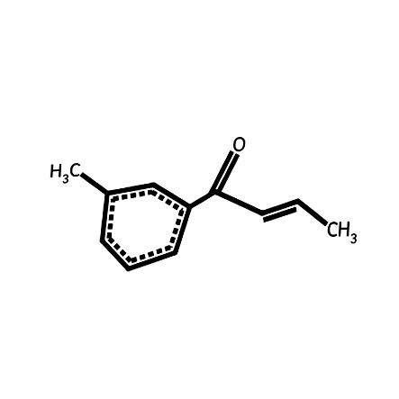 CC=CC(=O)c1cccc(C)c1